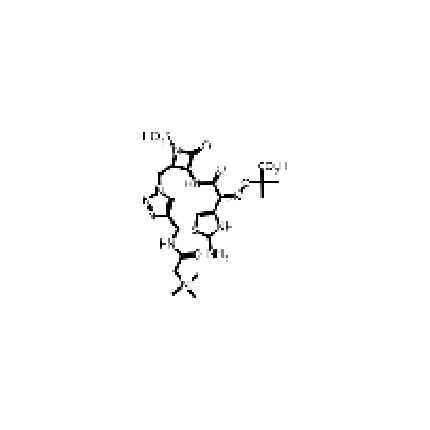 CC(C)(O/N=C(\C(=O)NC1C(=O)N(S(=O)(=O)O)C1Cn1cc(CNC(=O)C[N+](C)(C)C)nn1)C1=CSC(N)N1)C(=O)O